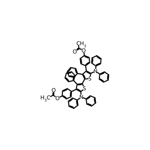 CC(=O)Oc1ccc(-c2c(N(c3ccccc3)c3ccccc3)sc(-c3sc(N(c4ccccc4)c4ccccc4)c(-c4ccc(OC(C)=O)cc4)c3-c3ccccc3)c2-c2ccccc2)cc1